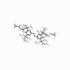 CCC(C)(C)c1cc(CCc2cc(C(C)(C)CC)c(OC(C)OCC3CO3)c(C(C)(C)CC)c2)cc(C(C)(C)CC)c1OC(C)OCC1CO1